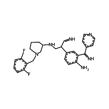 N=CC(CNC1CCCN(Cc2c(F)cccc2F)C1)c1ccc(N)c(C(=N)c2ccncc2)c1